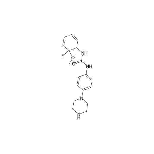 COC1(F)C=CC=CC1NC(=O)Nc1ccc(N2CCNCC2)cc1